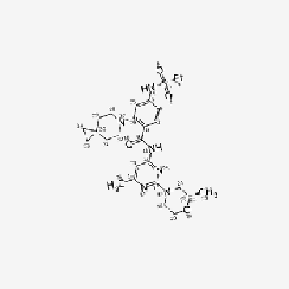 CCS(=O)(=O)Nc1ccc(C(=O)Nc2cc(C)nc(N3CCO[C@H](C)C3)n2)c(N2CCC3(CC2)CC3)c1